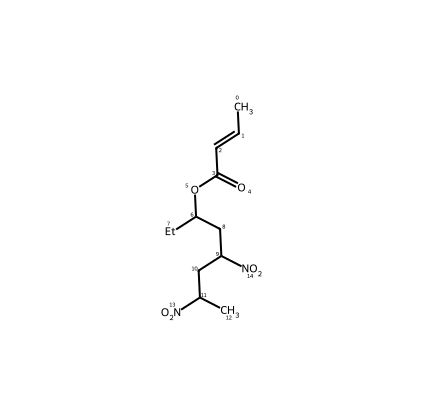 C/C=C/C(=O)OC(CC)CC(CC(C)[N+](=O)[O-])[N+](=O)[O-]